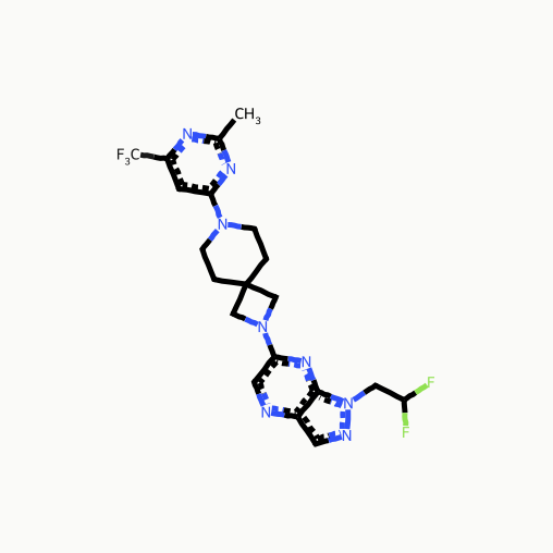 Cc1nc(N2CCC3(CC2)CN(c2cnc4cnn(CC(F)F)c4n2)C3)cc(C(F)(F)F)n1